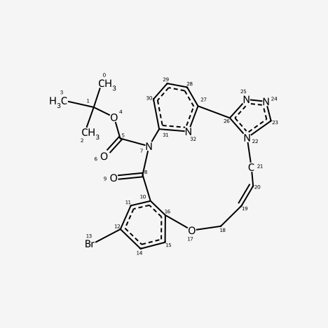 CC(C)(C)OC(=O)N1C(=O)c2cc(Br)ccc2OC/C=C\Cn2cnnc2-c2cccc1n2